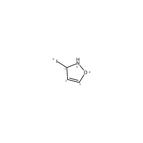 IC1C=CON1